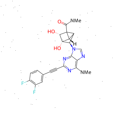 CNC(=O)C12C3[C@@H](n4cnc5c(NC)nc(C#Cc6ccc(F)c(F)c6)nc54)[C@@](O)([C@@H]1O)[C@@H]32